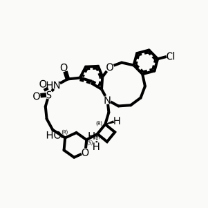 O=C1NS(=O)(=O)CCC[C@@]2(O)CCO[C@@H](C2)[C@@H]2CC[C@H]2CN2CCCCc3cc(Cl)ccc3COc3ccc1cc32